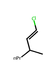 CCCC(C)C=CCl